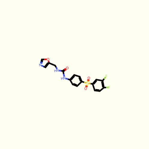 O=C(NCc1cnco1)Nc1ccc(S(=O)(=O)c2ccc(F)c(F)c2)cc1